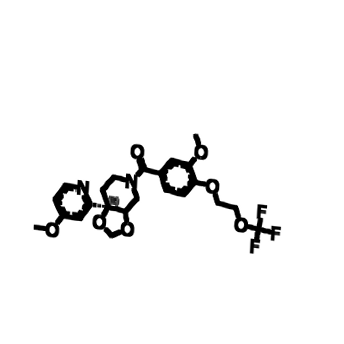 COc1ccnc([C@]23CCN(C(=O)c4ccc(OCCOC(F)(F)F)c(OC)c4)CC2OCO3)c1